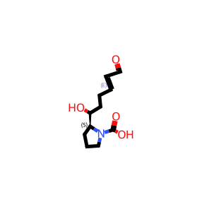 O=C/C=C/CCC(O)[C@@H]1CCCN1C(=O)O